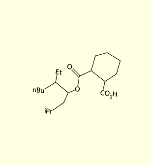 CCCCC(CC)C(CC(C)C)OC(=O)C1CCCCC1C(=O)O